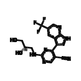 N#Cc1cnc(NC[C@H](O)CO)nc1-c1c[nH]c2ncc(C(F)(F)F)cc12